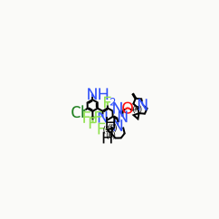 C=C1CN2CCC3(CC3)[C@@]2(COc2nc(N3CCCC[C@H]4[C@H](F)[C@H]43)c3cnc(-c4cc(N)cc(Cl)c4C(F)(F)F)c(F)c3n2)C1